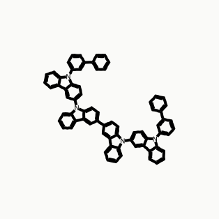 c1ccc(-c2cccc(-n3c4ccccc4c4cc(-n5c6ccccc6c6cc(-c7ccc8c(c7)c7ccccc7n8-c7ccc8c(c7)c7ccccc7n8-c7cccc(-c8ccccc8)c7)ccc65)ccc43)c2)cc1